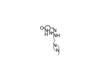 CCN1CCN(CCCNc2ncc3ccc(=O)[nH]c3n2)CC1